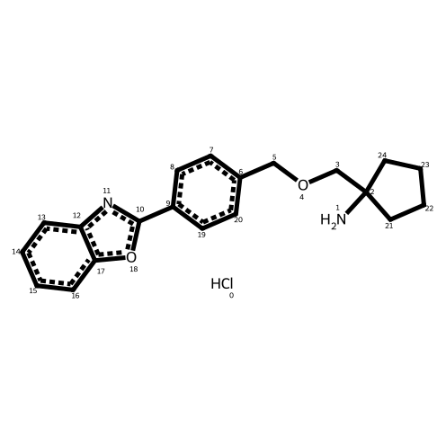 Cl.NC1(COCc2ccc(-c3nc4ccccc4o3)cc2)CCCC1